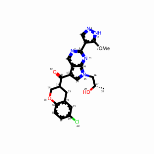 COc1[nH]ncc1-c1ncc2c(C(=O)C3COc4ccc(Cl)cc4C3)cn(C[C@H](C)O)c2n1